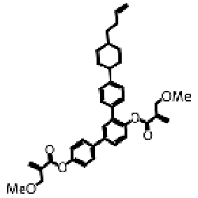 C=CCCC1CCC(c2ccc(-c3cc(-c4ccc(OC(=O)C(=C)COC)cc4)ccc3OC(=O)C(=C)COC)cc2)CC1